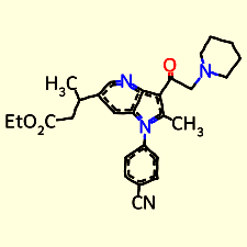 CCOC(=O)CC(C)c1cnc2c(C(=O)CN3CCCCC3)c(C)n(-c3ccc(C#N)cc3)c2c1